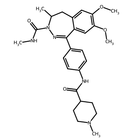 CNC(=O)N1N=C(c2ccc(NC(=O)C3CCN(C)CC3)cc2)c2cc(OC)c(OC)cc2CC1C